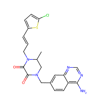 CC1CN(Cc2ccc3c(N)ncnc3c2)C(=O)C(=O)N1CC=Cc1ccc(Cl)s1